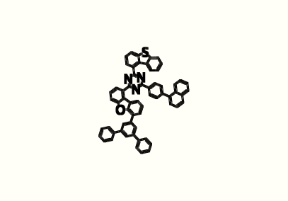 c1ccc(-c2cc(-c3ccccc3)cc(-c3cccc4c3oc3cccc(-c5nc(-c6ccc(-c7cccc8ccccc78)cc6)nc(-c6cccc7sc8ccccc8c67)n5)c34)c2)cc1